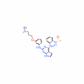 CCN(C)CCCOc1cccc(Nc2nc(Nc3ccccc3N[S+](C)[O-])c3cc[nH]c3n2)c1